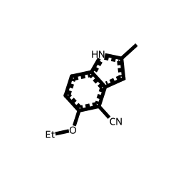 CCOc1ccc2[nH]c(C)cc2c1C#N